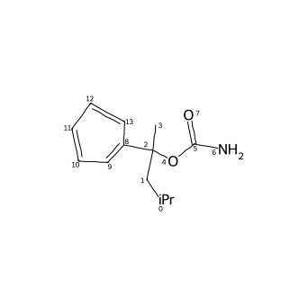 CC(C)CC(C)(OC(N)=O)c1ccccc1